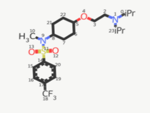 CC(C)N(CCOC1CCC(N(C)S(=O)(=O)c2ccc(C(F)(F)F)cc2)CC1)C(C)C